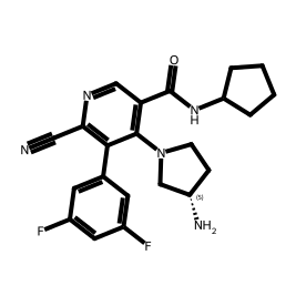 N#Cc1ncc(C(=O)NC2CCCC2)c(N2CC[C@H](N)C2)c1-c1cc(F)cc(F)c1